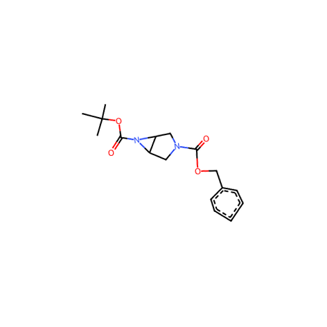 CC(C)(C)OC(=O)N1C2CN(C(=O)OCc3ccccc3)CC21